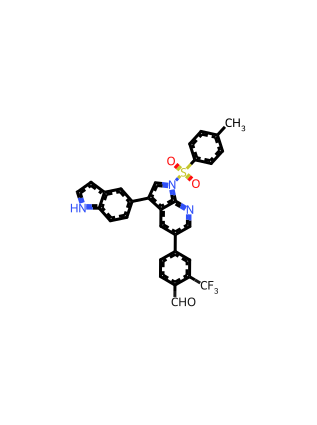 Cc1ccc(S(=O)(=O)n2cc(-c3ccc4[nH]ccc4c3)c3cc(-c4ccc(C=O)c(C(F)(F)F)c4)cnc32)cc1